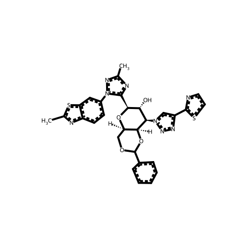 Cc1nc([C@@H]2O[C@@H]3COC(c4ccccc4)O[C@@H]3[C@H](n3cc(-c4nccs4)nn3)[C@H]2O)n(-c2ccc3nc(C)sc3c2)n1